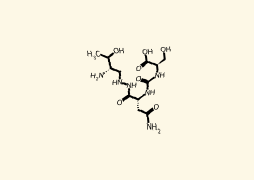 CC(O)[C@@H](N)CNNC(=O)[C@@H](CC(N)=O)NC(=O)N[C@H](CO)C(=O)O